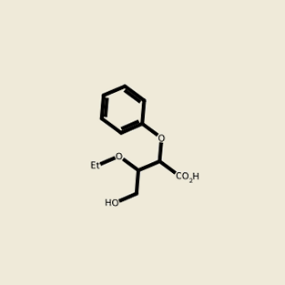 CCOC(CO)C(Oc1ccccc1)C(=O)O